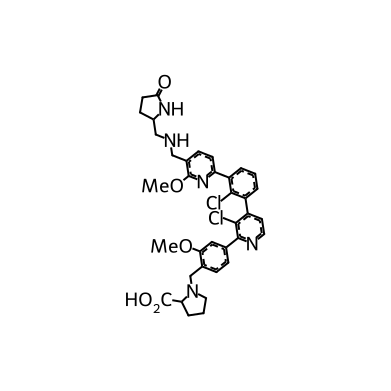 COc1cc(-c2nccc(-c3cccc(-c4ccc(CNCC5CCC(=O)N5)c(OC)n4)c3Cl)c2Cl)ccc1CN1CCCC1C(=O)O